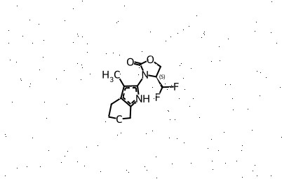 Cc1c(N2C(=O)OC[C@H]2C(F)F)[nH]c2c1CCCC2